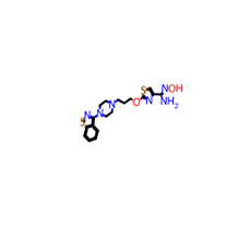 NC(=NO)c1csc(OCCCN2CCN(c3nsc4ccccc34)CC2)n1